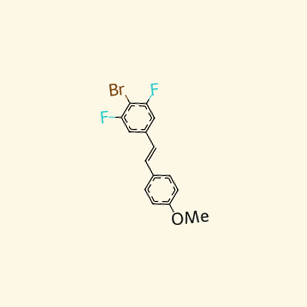 COc1ccc(C=Cc2cc(F)c(Br)c(F)c2)cc1